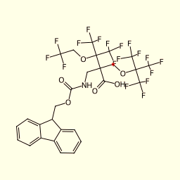 O=C(NCC(COC(C(F)(F)F)(C(F)(F)F)C(F)(F)F)(C(=O)O)C(OCC(F)(F)F)(C(F)(F)F)C(F)(F)F)OCC1c2ccccc2-c2ccccc21